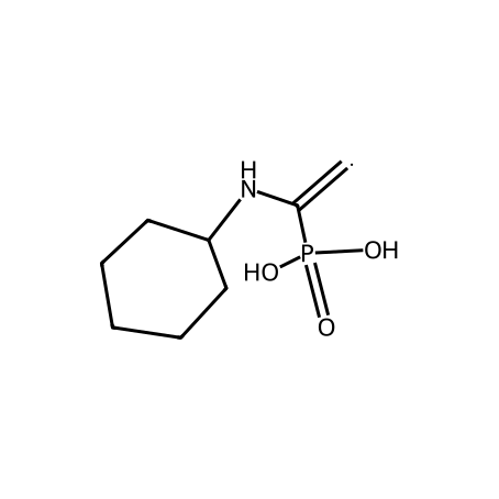 [CH]=C(NC1CCCCC1)P(=O)(O)O